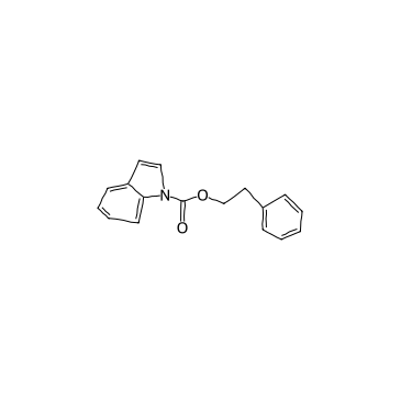 O=C(OCCc1ccccc1)n1ccc2ccccc21